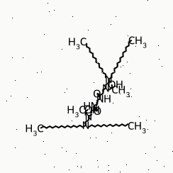 CCCCCCCCCCCCCCCN(CCCCCCCCCCCCCCC)CCN(CCC(=O)NCCNC(=O)CCN(CCN(CCCCCCCCCCCCCCC)CCCCCCCCCCCCCCC)CC(C)O)CC(C)O